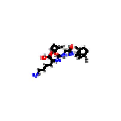 CC1(C)[C@@H]2CC[C@@]1(C)[C@@H](NC(=O)[C@@H](CC1CCC1)NC(=O)N[C@@H](CCCCN)C(=O)O)C2